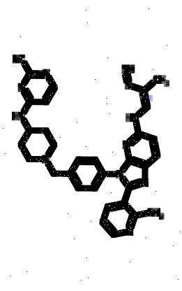 C/C(=C/Nc1ccc2nc(-c3cccnc3N)n(-c3ccc(CN4CCC(Nc5ccnc(C#N)n5)CC4)cc3)c2n1)N=N